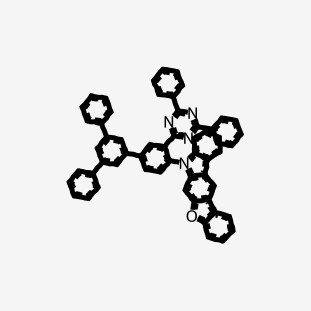 c1ccc(-c2cc(-c3ccccc3)cc(-c3ccc(-n4c5ccccc5c5cc6c(cc54)oc4ccccc46)c(-c4nc(-c5ccccc5)nc(-c5ccccc5)n4)c3)c2)cc1